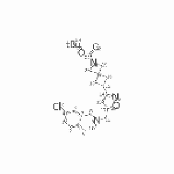 Cc1ccc(Cl)cc1CN(C)Cc1cc(C2CC3(C2)CN(C(=O)OC(C)(C)C)C3)no1